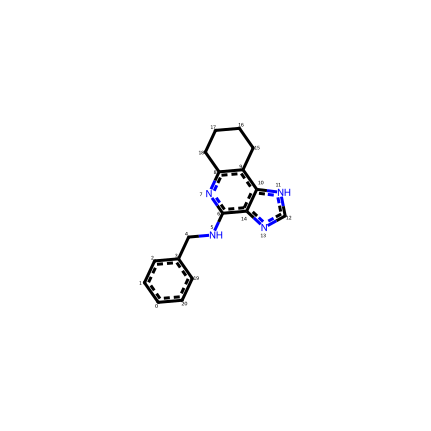 c1ccc(CNc2nc3c(c4[nH]cnc24)CCCC3)cc1